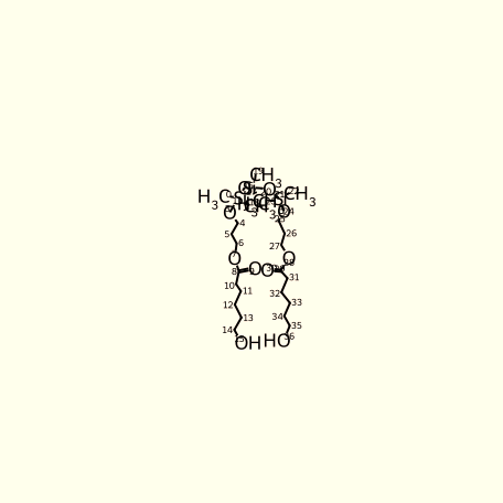 C[Si](C)(OCCCOC(=O)CCCCCO)O[Si](C)(C)O[Si](C)(C)OCCCOC(=O)CCCCCO